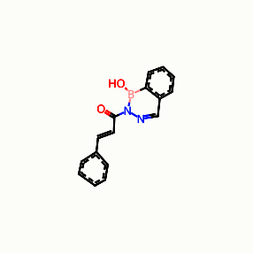 O=C(/C=C/c1ccccc1)N1N=Cc2ccccc2B1O